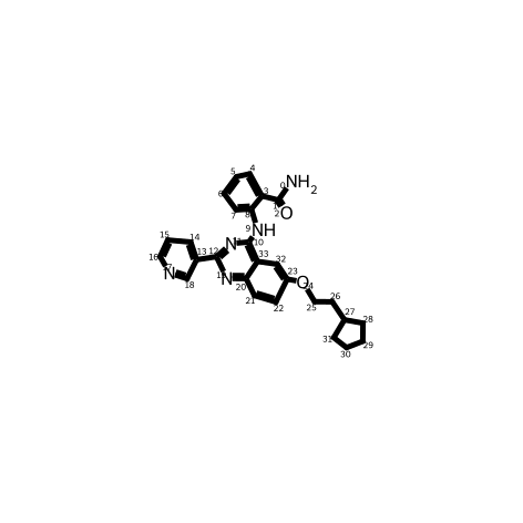 NC(=O)c1ccccc1Nc1nc(-c2cccnc2)nc2ccc(OCCC3CCCC3)cc12